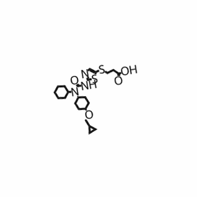 O=C(O)CCSc1cnc(NC(=O)N(C2CCCCC2)[C@H]2CC[C@H](OCC3CC3)CC2)s1